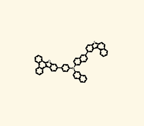 c1ccc2cc(N(c3ccc(-c4ccc5c(c4)oc4c6ccccc6c6ccccc6c54)cc3)c3ccc4cc(-c5ccc6sc7ccc8ccccc8c7c6c5)ccc4c3)ccc2c1